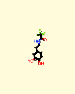 O=C(NCCc1ccc(O)c(O)c1)C(F)(F)F